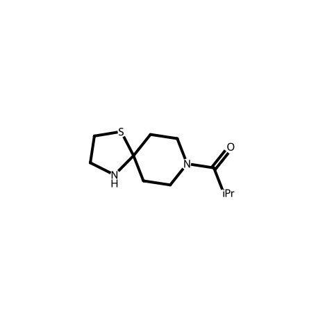 CC(C)C(=O)N1CCC2(CC1)NCCS2